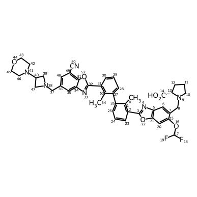 Cc1c(-c2nc3cc(CN4CCC[C@H]4C(=O)O)c(OC(F)F)cc3o2)cccc1-c1cccc(-c2nc3cc(CN4CC(N5CCOCC5)C4)cc(C#N)c3o2)c1C